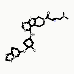 CN(C)C/C=C/C(=O)N1CCc2c(sc3ncnc(Nc4ccc(Oc5ccc6ncnn6c5)c(Cl)c4)c23)C1